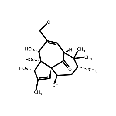 CC1=C[C@]23C(=O)[C@@H](C=C(CO)[C@@H](O)[C@]2(O)[C@H]1O)C(C)(C)[C@H](C)C[C@H]3C